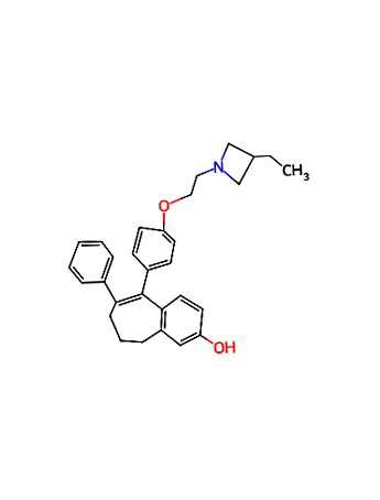 CCC1CN(CCOc2ccc(C3=C(c4ccccc4)CCCc4cc(O)ccc43)cc2)C1